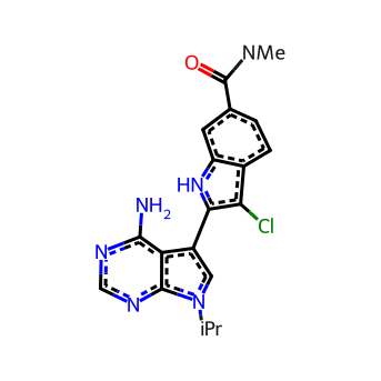 CNC(=O)c1ccc2c(Cl)c(-c3cn(C(C)C)c4ncnc(N)c34)[nH]c2c1